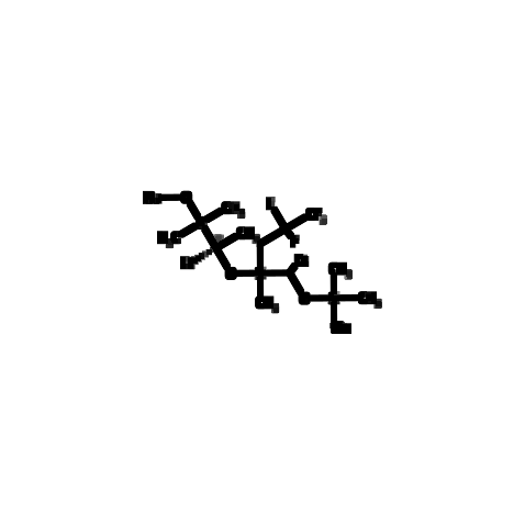 CCC(C)O[Si](C)(C)[C@](C)(CC)O[Si](C)(CC(F)(F)C(F)(F)F)C(CC)O[Si](C)(C)C(C)(C)C